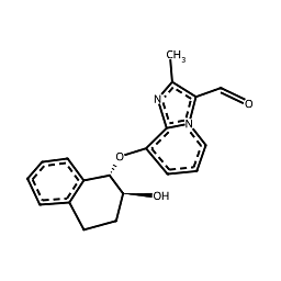 Cc1nc2c(O[C@H]3c4ccccc4CC[C@@H]3O)cccn2c1C=O